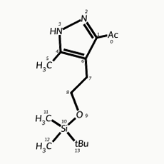 CC(=O)c1n[nH]c(C)c1CCO[Si](C)(C)C(C)(C)C